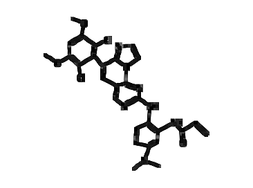 C=CC(=O)Nc1cc(N(C)C)ccc1Nc1ncc2cc(-c3c(Cl)c(OC)cc(OC)c3Cl)c3nccn3c2n1